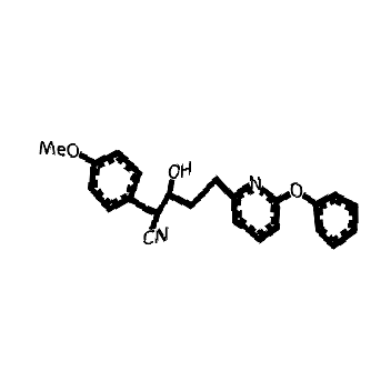 COc1ccc(C(C#N)C(O)CCc2cccc(Oc3ccccc3)n2)cc1